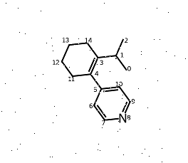 C[C](C)C1=C(c2ccncc2)CCCC1